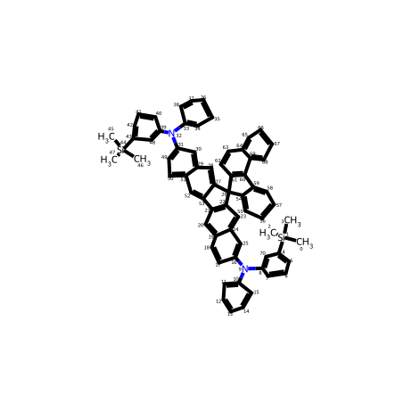 C[Si](C)(C)c1cccc(N(c2ccccc2)c2ccc3cc4c(cc3c2)C2(c3cc5cc(N(c6ccccc6)c6cccc([Si](C)(C)C)c6)ccc5cc3-4)c3ccccc3-c3c2ccc2ccccc32)c1